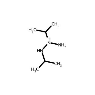 CC(C)N[SiH](N)C(C)C